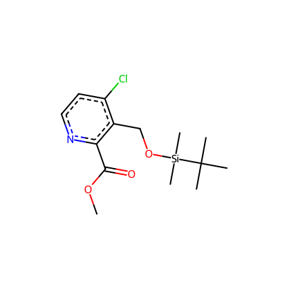 COC(=O)c1nccc(Cl)c1CO[Si](C)(C)C(C)(C)C